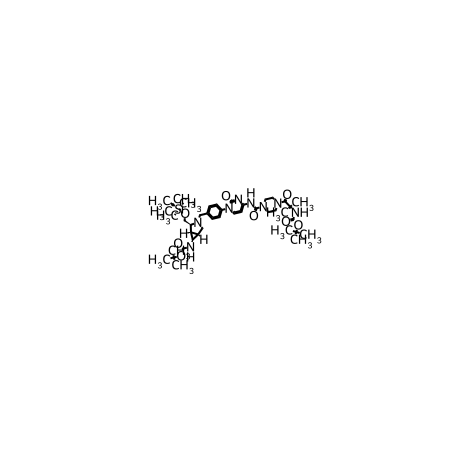 CC(C)(C)OC(=O)N[C@@H]1[C@H]2CN(Cc3ccc(-n4ccc(NC(=O)N5CCN(C(=O)C(C)(C)NC(=O)OC(C)(C)C)CC5)nc4=O)cc3)[C@H](CO[Si](C)(C)C(C)(C)C)[C@H]21